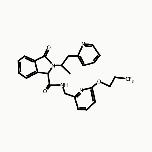 CC(Cc1ccccn1)N1C(=O)c2ccccc2C1C(=O)NCc1cccc(OCCC(F)(F)F)n1